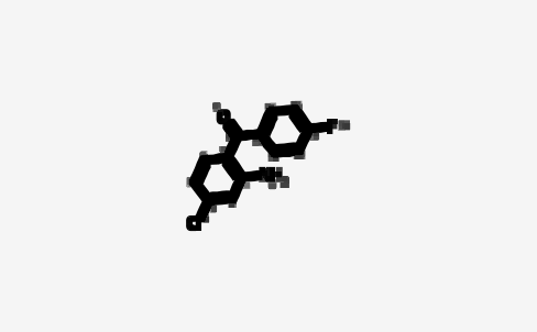 Nc1cc(Cl)ccc1C(=O)c1ccc(F)cc1